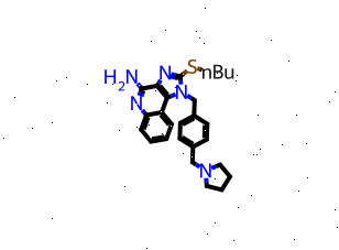 CCCCSc1nc2c(N)nc3ccccc3c2n1Cc1ccc(CN2CCCC2)cc1